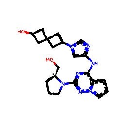 OC[C@@H]1CCCN1c1nc(Nc2cn(C3CC4(CC(O)C4)C3)cn2)c2cccn2n1